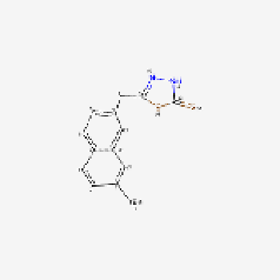 CC(C)(C)c1ccc2ccc(Cc3n[nH]c(=S)s3)cc2c1